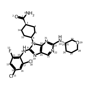 NC(=O)[C@H]1CC[C@@H](n2c(Nc3c(F)cc(Cl)cc3Cl)nc3cnc(N[C@H]4CCCOC4)nc32)CC1